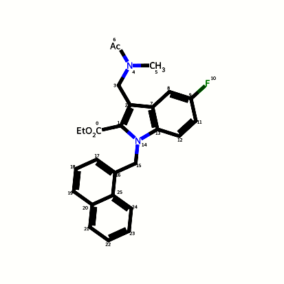 CCOC(=O)c1c(CN(C)C(C)=O)c2cc(F)ccc2n1Cc1cccc2ccccc12